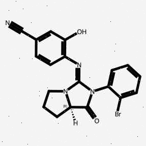 N#Cc1ccc(N=C2N(c3ccccc3Br)C(=O)[C@H]3CCCN23)c(O)c1